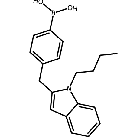 CCCCn1c(Cc2ccc(B(O)O)cc2)cc2ccccc21